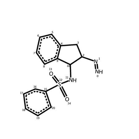 N=NC1Cc2ccccc2C1NS(=O)(=O)c1ccccc1